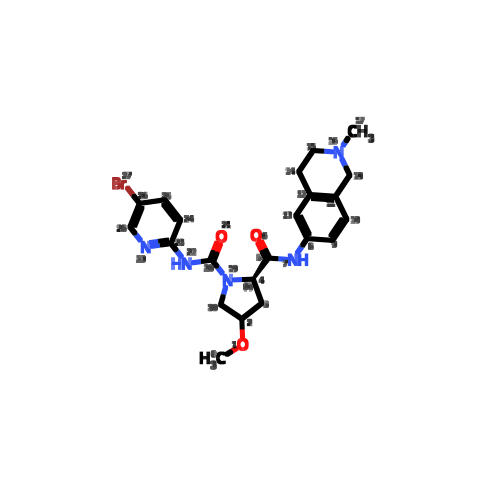 COC1C[C@H](C(=O)Nc2ccc3c(c2)CCN(C)C3)N(C(=O)Nc2ccc(Br)cn2)C1